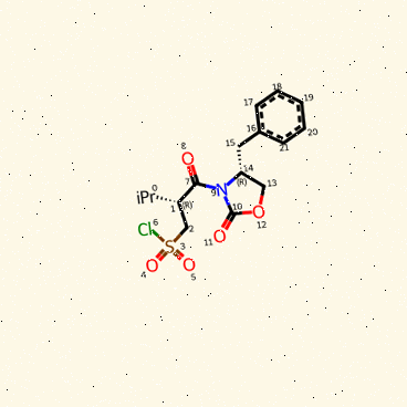 CC(C)[C@@H](CS(=O)(=O)Cl)C(=O)N1C(=O)OC[C@H]1Cc1ccccc1